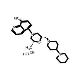 C[C@@H]1CN(c2ccc(C#N)c3ncccc23)C[C@H](CN2CCC(N3CCCCC3)CC2)O1.Cl.Cl